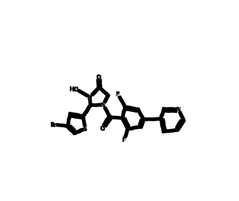 O=C1CN(C(=O)c2c(F)cc(-c3cccnc3)cc2F)C(c2cc(Br)cs2)N1O